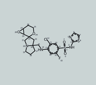 O=S(=O)(Nc1nccs1)c1cc(Cl)c(NCC23CCCN2CC2(C3)OCCC3OC32)cc1F